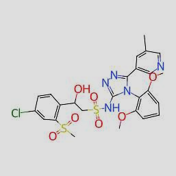 COc1cccc(OC)c1-n1c(NS(=O)(=O)CC(O)c2ccc(Cl)cc2S(C)(=O)=O)nnc1-c1cncc(C)c1